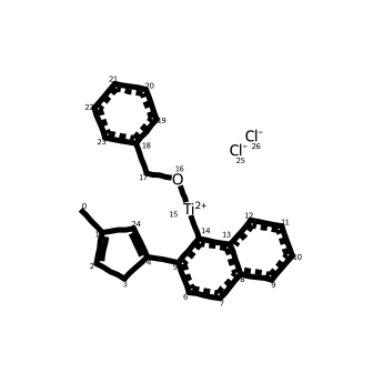 CC1=CCC(c2ccc3ccccc3[c]2[Ti+2][O]Cc2ccccc2)=C1.[Cl-].[Cl-]